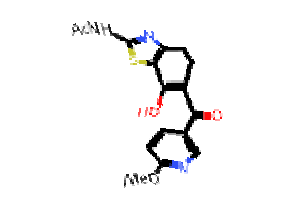 COc1ccc(C(=O)C2=C(O)c3sc(NC(C)=O)nc3CC2)cn1